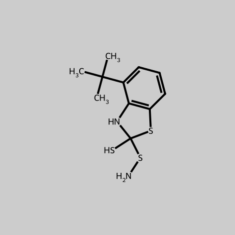 CC(C)(C)c1cccc2c1NC(S)(SN)S2